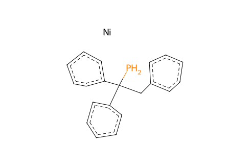 PC(Cc1ccccc1)(c1ccccc1)c1ccccc1.[Ni]